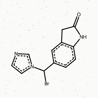 O=C1Cc2cc(C(Br)n3ccnc3)ccc2N1